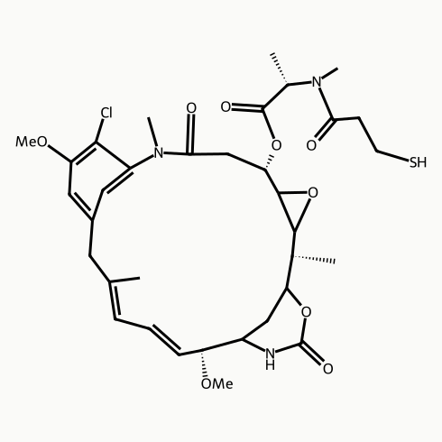 COc1cc2cc(c1Cl)N(C)C(=O)C[C@H](OC(=O)[C@H](C)N(C)C(=O)CCS)C1OC1[C@H](C)C1CC(NC(=O)O1)[C@H](OC)/C=C/C=C(\C)C2